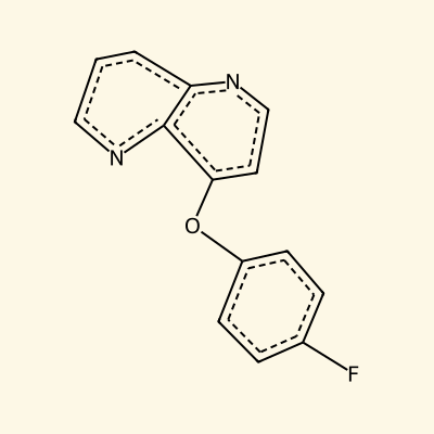 Fc1ccc(Oc2ccnc3cccnc23)cc1